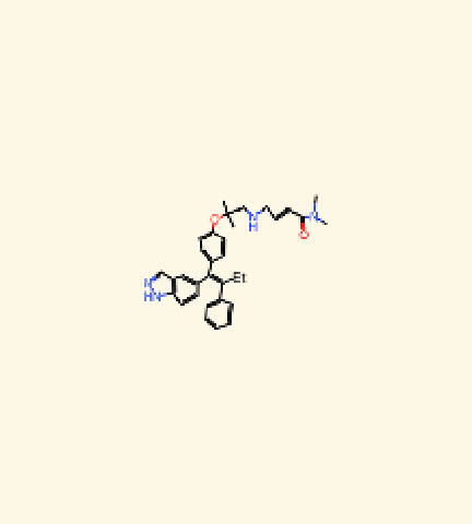 CCC(=C(c1ccc(OC(C)(C)CNCC=CC(=O)N(C)C)cc1)c1ccc2[nH]ncc2c1)c1ccccc1